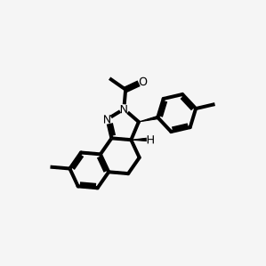 CC(=O)N1N=C2c3cc(C)ccc3CC[C@H]2[C@@H]1c1ccc(C)cc1